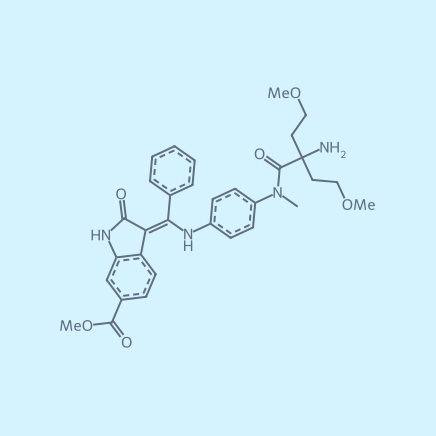 COCCC(N)(CCOC)C(=O)N(C)c1ccc(NC(=C2C(=O)Nc3cc(C(=O)OC)ccc32)c2ccccc2)cc1